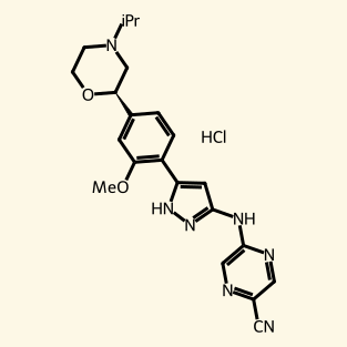 COc1cc([C@@H]2CN(C(C)C)CCO2)ccc1-c1cc(Nc2cnc(C#N)cn2)n[nH]1.Cl